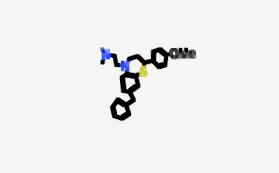 COc1ccc(C2CCN(CCN(C)C)c3ccc(Cc4ccccc4)cc3S2)cc1